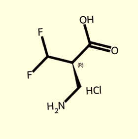 Cl.NC[C@H](C(=O)O)C(F)F